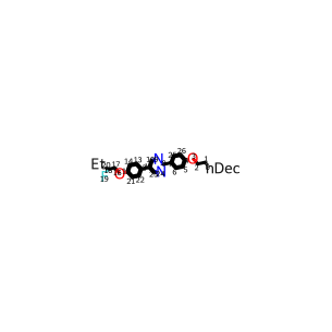 CCCCCCCCCCCCOc1ccc(-c2ncc(-c3ccc(OCC(F)CC)cc3)cn2)cc1